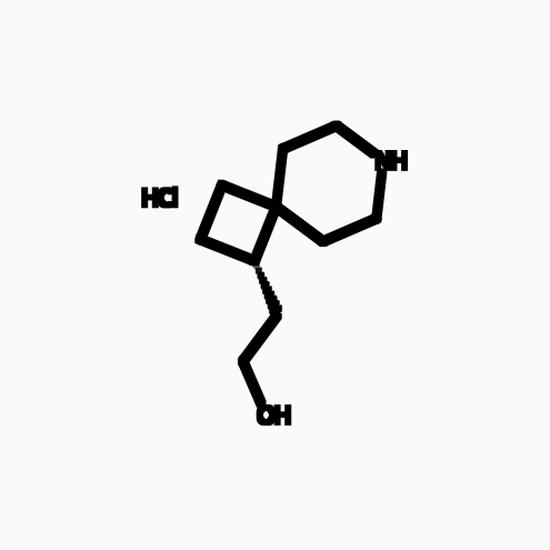 Cl.OCC[C@@H]1CCC12CCNCC2